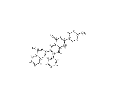 CN1CCN(c2cc(=O)c3cc(-c4cc(Cl)c5ncccc5c4)c(-c4ccccc4)nc3[nH]2)CC1